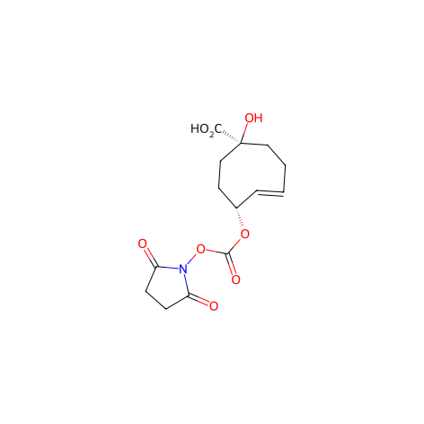 O=C(O[C@H]1/C=C/CC[C@@](O)(C(=O)O)CC1)ON1C(=O)CCC1=O